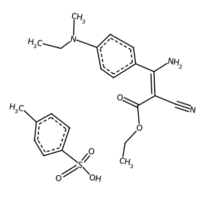 CCOC(=O)C(C#N)=C(N)c1ccc(N(C)CC)cc1.Cc1ccc(S(=O)(=O)O)cc1